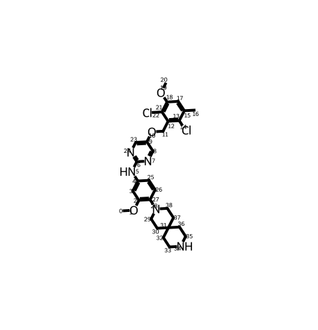 COc1cc(Nc2ncc(OCc3c(Cl)c(C)cc(OC)c3Cl)cn2)ccc1N1CCC2(CCNCC2)CC1